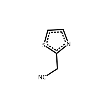 N#CCc1nccs1